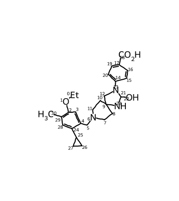 CCOc1cc(CN2CCC3(CC2)CN(c2ccc(C(=O)O)cc2)C(O)N3)c(C2CC2)cc1C